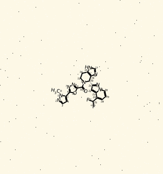 Cn1nccc1-c1nnc(C(=O)N2CCc3[nH]cnc3[C@@H]2c2cc3c(C(F)F)cccn3n2)o1